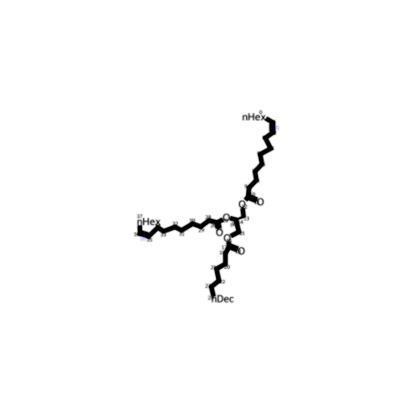 CCCCCC/C=C\CCCCCCCC(=O)OC[C@@H](COC(=O)CCCCCCCCCCCCCCC)OC(=O)CCCCCCC/C=C\CCCCCC